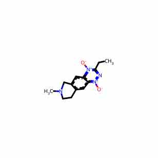 CCc1n[n+]([O-])c2cc3c(cc2[n+]1[O-])CN(C)CC3